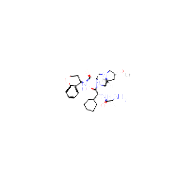 CCO[C@@H]1C[C@@H]2CN(C(=O)[C@@H](NC(=O)[C@H](C)N)C3CCCCC3)[C@H](C(=O)N[C@@H]3CCOc4ccccc43)CN2C1